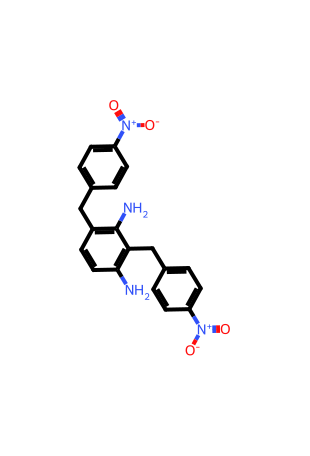 Nc1ccc(Cc2ccc([N+](=O)[O-])cc2)c(N)c1Cc1ccc([N+](=O)[O-])cc1